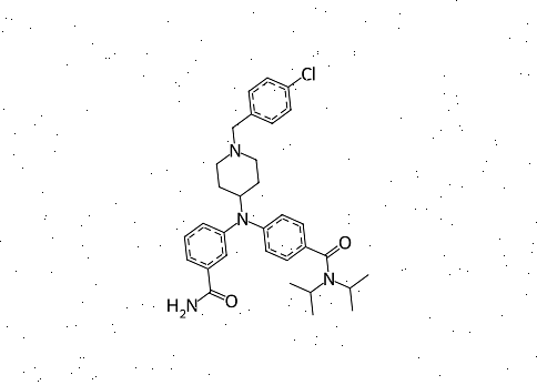 CC(C)N(C(=O)c1ccc(N(c2cccc(C(N)=O)c2)C2CCN(Cc3ccc(Cl)cc3)CC2)cc1)C(C)C